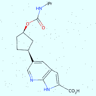 CC(C)NC(=O)O[C@@H]1CC[C@H](c2cnc3[nH]c(C(=O)O)cc3c2)C1